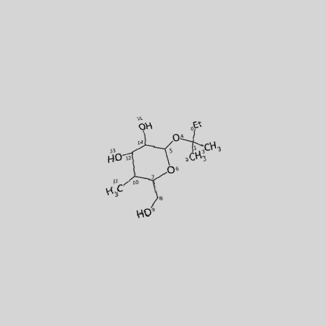 CCC(C)(C)OC1OC(CO)C(C)C(O)C1O